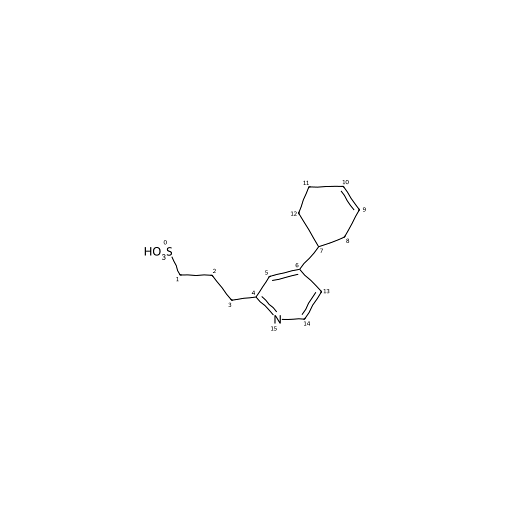 O=S(=O)(O)CCCc1cc(C2CC=CCC2)ccn1